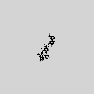 CCc1nc2c(cnn2CC)c(NC2CCOCC2)c1CNC(=O)c1cccc(C(=O)NCc2ccc(F)c(-c3cccc(CI)c3)c2)c1